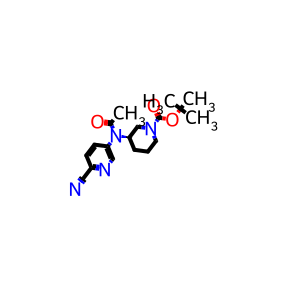 CC(=O)N(c1ccc(C#N)nc1)[C@@H]1CCCN(C(=O)OC(C)(C)C)C1